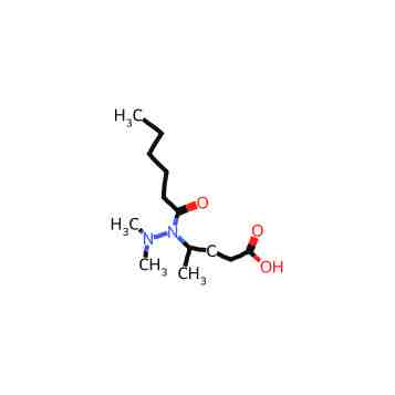 CCCCCC(=O)N(C(C)CCC(=O)O)N(C)C